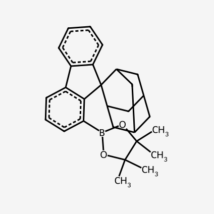 CC1(C)OB(c2cccc3c2C2(c4ccccc4-3)C3CC4CC(C3)CC2C4)OC1(C)C